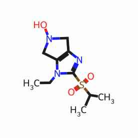 CCn1c(S(=O)(=O)C(C)C)nc2c1CN(O)C2